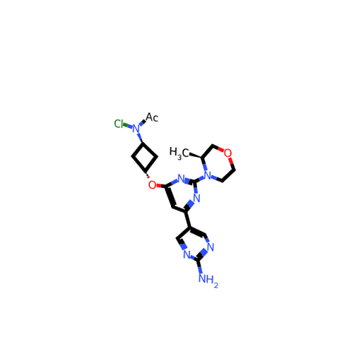 CC(=O)N(Cl)[C@H]1C[C@H](Oc2cc(-c3cnc(N)nc3)nc(N3CCOC[C@@H]3C)n2)C1